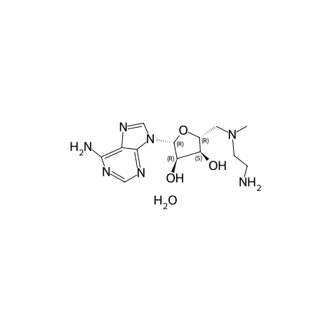 CN(CCN)C[C@H]1O[C@@H](n2cnc3c(N)ncnc32)[C@H](O)[C@@H]1O.O